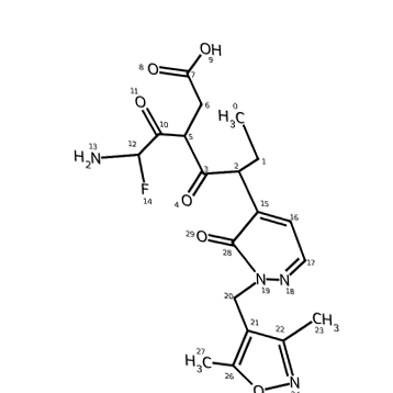 CCC(C(=O)C(CC(=O)O)C(=O)C(N)F)c1ccnn(Cc2c(C)noc2C)c1=O